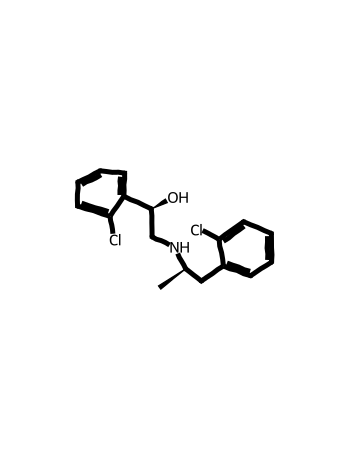 C[C@H](Cc1ccccc1Cl)NC[C@H](O)c1ccccc1Cl